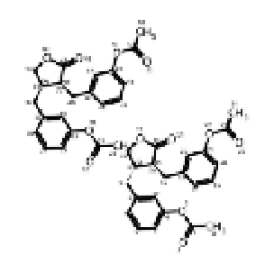 CC(=O)Oc1cccc(C[C@@H]2COC(=O)[C@H]2Cc2cccc(OC(C)=O)c2)c1.CC(=O)Oc1cccc(C[C@H]2COC(=O)[C@H]2Cc2cccc(OC(C)=O)c2)c1